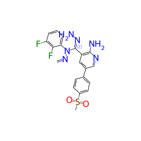 C=NN(/C(=N\N)c1cc(-c2ccc(S(C)(=O)=O)cc2)cnc1N)c1cccc(F)c1F